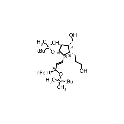 CCCCC[C@@H](C=C[C@H]1[C@@H](CCCO)[C@@H](CO)C[C@H]1O[Si](C)(C)C(C)(C)C)O[Si](C)(C)C(C)(C)C